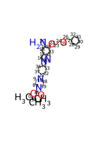 CC(C)(C)OC(=O)N1CCN(C2CCC(n3cc4cc(N)c(OCCOCc5ccccc5)cc4n3)CC2)CC1